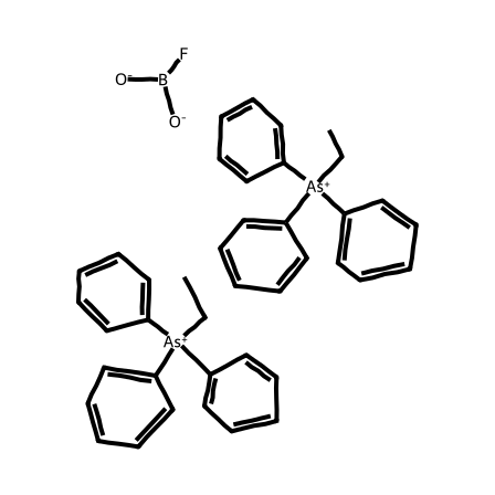 CC[As+](c1ccccc1)(c1ccccc1)c1ccccc1.CC[As+](c1ccccc1)(c1ccccc1)c1ccccc1.[O-]B([O-])F